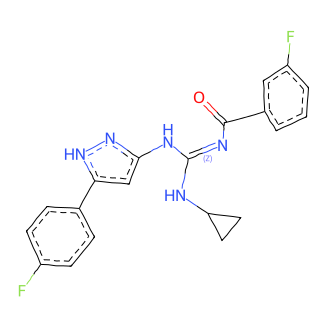 O=C(/N=C(\Nc1cc(-c2ccc(F)cc2)[nH]n1)NC1CC1)c1cccc(F)c1